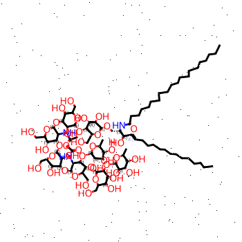 CCCCCCCCCCCCC/C=C/[C@@H](O)[C@H](CO[C@@H]1OC(CO)[C@@H](O[C@@H]2OC(CO)[C@H](O)[C@H](O[C@@H]3OC(CO)[C@@H](O)[C@H](O[C@@H]4OC(CO)[C@H](O)[C@H](O[C@@H]5OC(CO)[C@@H](O[C@@H]6OC(CO)[C@H](O)[C@H](O)C6O[C@H]6OC(C)[C@@H](O)C(O)[C@@H]6O)[C@H](O[C@H]6OC(C)[C@@H](O)C(O)[C@@H]6O)C5NC(C)=O)C4O)C3NC(C)=O)C2O)[C@H](O)C1O)NC(=O)CCCCCCCCCCCCCCCCCCC